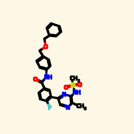 Cc1ncc(-c2cc(C(=O)Nc3ccc(COCc4ccccc4)cc3)ccc2F)nc1NS(C)(=O)=O